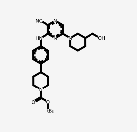 CC(C)(C)OC(=O)N1CCC(c2ccc(Nc3nc(N4CCCC(CO)C4)cnc3C#N)cc2)CC1